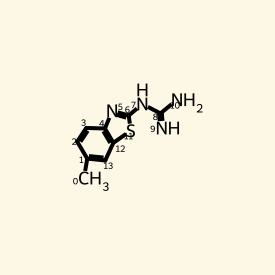 Cc1ccc2nc(NC(=N)N)sc2c1